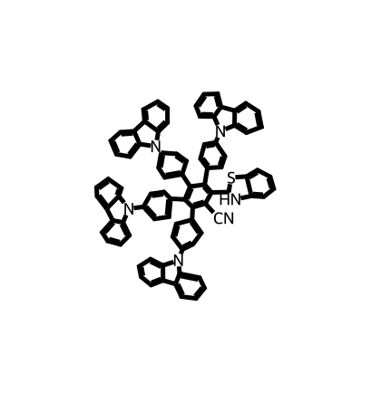 N#Cc1c(-c2ccc(-n3c4ccccc4c4ccccc43)cc2)c(-c2ccc(-n3c4ccccc4c4ccccc43)cc2)c(-c2ccc(-n3c4ccccc4c4ccccc43)cc2)c(-c2ccc(-n3c4ccccc4c4ccccc43)cc2)c1C1Nc2ccccc2S1